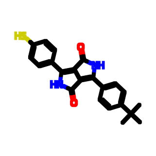 CC(C)(C)c1ccc(C2=C3C(=O)NC(c4ccc(S)cc4)=C3C(=O)N2)cc1